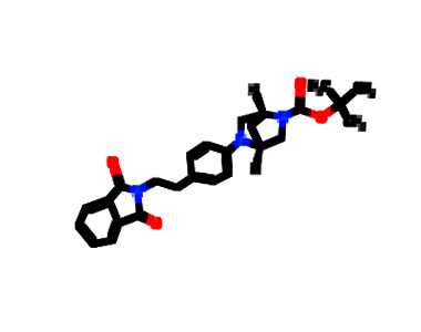 CC(C)(C)OC(=O)N1C[C@H]2C[C@@H]1CN2c1ccc(CCN2C(=O)c3ccccc3C2=O)cc1